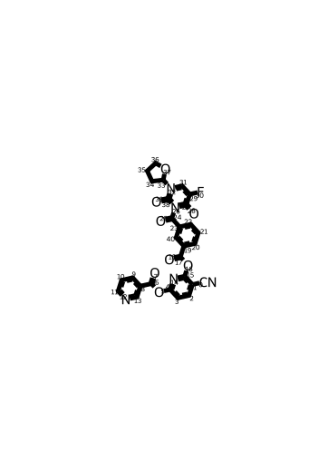 N#Cc1ccc(OC(=O)c2cccnc2)nc1OC(=O)c1cccc(C(=O)n2c(=O)c(F)cn(C3CCCO3)c2=O)c1